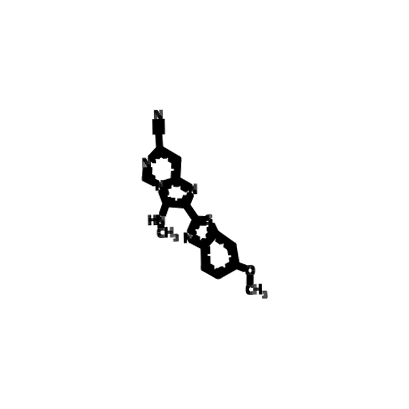 CNc1c(-c2nc3ccc(OC)cc3s2)nc2cc(C#N)ncn12